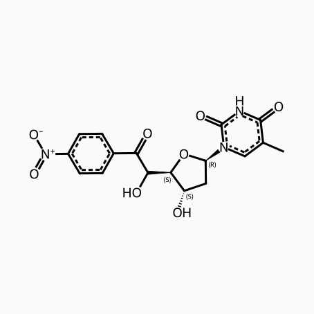 Cc1cn([C@H]2C[C@H](O)[C@@H](C(O)C(=O)c3ccc([N+](=O)[O-])cc3)O2)c(=O)[nH]c1=O